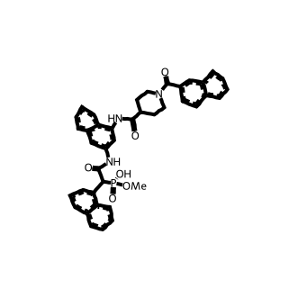 COP(=O)(O)C(C(=O)Nc1cc(NC(=O)C2CCN(C(=O)c3ccc4ccccc4c3)CC2)c2ccccc2c1)c1cccc2ccccc12